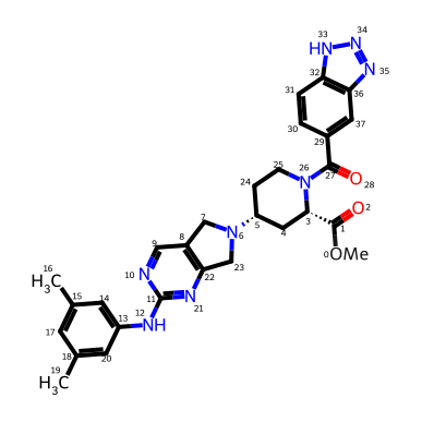 COC(=O)[C@@H]1C[C@H](N2Cc3cnc(Nc4cc(C)cc(C)c4)nc3C2)CCN1C(=O)c1ccc2[nH]nnc2c1